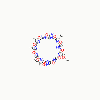 C=CCOC(C)(C)C[C@H]1C(=O)N[C@H](C(C)C)C(=O)N(C)[C@H](CCC(C)C)C(=O)N[C@H](C)C(=O)N[C@@H](C)C(=O)N(C)[C@@H](CC(C)C)C(=O)N(C)[C@H](CC(C)C)C(=O)N(C)[C@H](C(C)C)C(=O)N(C)C(C(=O)[C@H](C)CCCC)C(=O)N[C@H](CC)C(=O)N(C)CC(=O)N1C